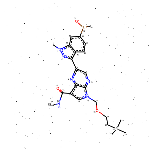 Cn1nc(-c2cnc3c(n2)c(C(=O)NC(C)(C)C)cn3COCC[Si](C)(C)C)c2ccc([S+](C)[O-])cc21